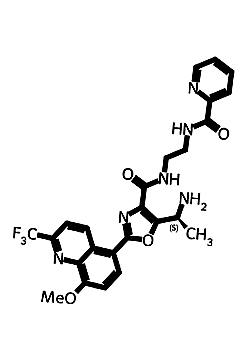 COc1ccc(-c2nc(C(=O)NCCNC(=O)c3ccccn3)c([C@H](C)N)o2)c2ccc(C(F)(F)F)nc12